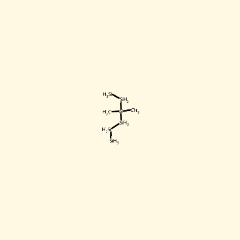 C[Si](C)([SiH2][SiH3])[SiH2][SiH2][SiH3]